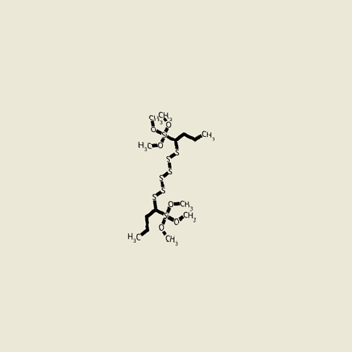 CCCC(SSSSSSC(CCC)[Si](OC)(OC)OC)[Si](OC)(OC)OC